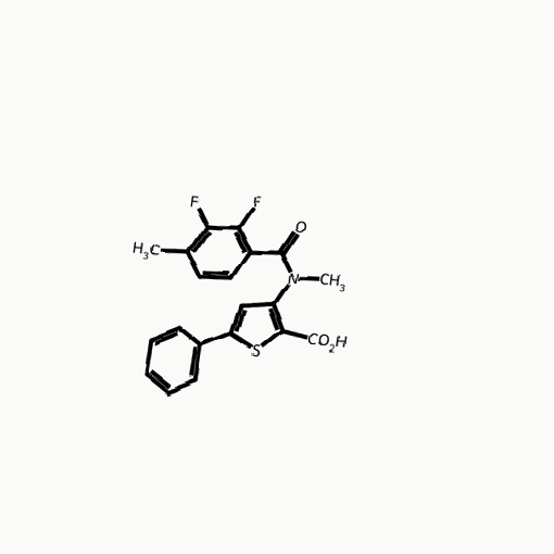 Cc1ccc(C(=O)N(C)c2cc(-c3ccccc3)sc2C(=O)O)c(F)c1F